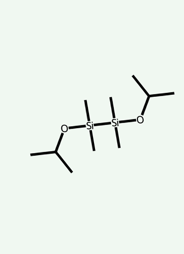 CC(C)O[Si](C)(C)[Si](C)(C)OC(C)C